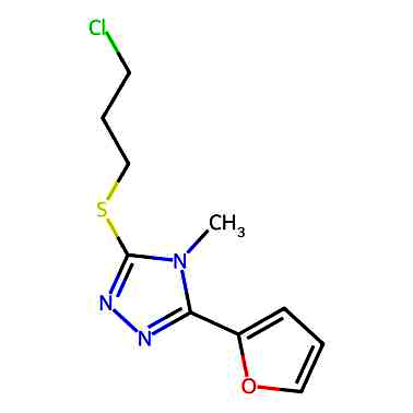 Cn1c(SCCCCl)nnc1-c1ccco1